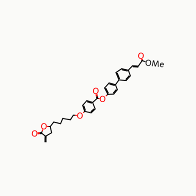 C=C1CC(CCCCCOc2ccc(C(=O)Oc3ccc(-c4ccc(/C=C/C(=O)OC)cc4)cc3)cc2)OC1=O